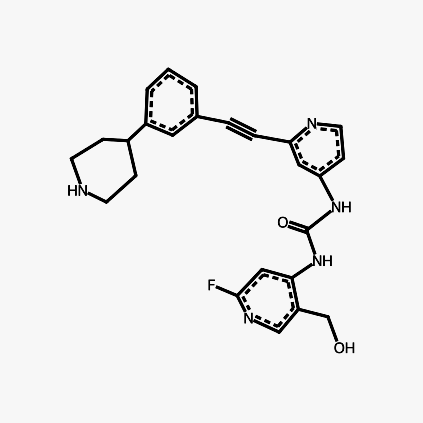 O=C(Nc1ccnc(C#Cc2cccc(C3CCNCC3)c2)c1)Nc1cc(F)ncc1CO